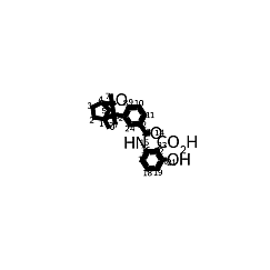 CC12CCC(C1)C1(C)Oc3ccc(C(=O)Nc4cccc(O)c4C(=O)O)cc3C21C